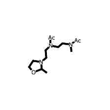 CC(=O)N(C)CCN(CCN1CCOC1C)C(C)=O